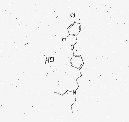 CCCN(CCC)CCCc1ccc(OCc2ccc(Cl)cc2Cl)cc1.Cl